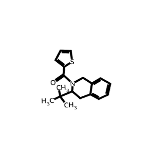 CC(C)(C)C1Cc2ccccc2CN1C(=O)c1cccs1